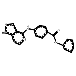 O=C(Nc1ccccc1)c1ccc(Nc2ncnc3[nH]ncc23)cc1